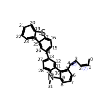 C/C=C\C=C/c1cccc2c1c1cc(-c3ccc4sc5ccccc5c4c3)ccc1n2C